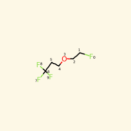 FCCOCCC(F)(F)F